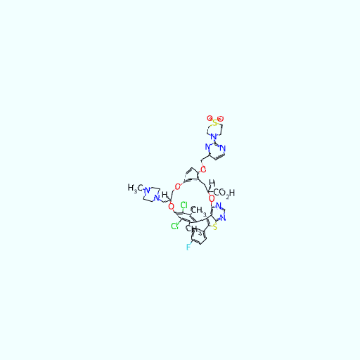 Cc1c(Cl)c2c(Cl)c(C)c1-c1c(-c3ccc(F)cc3)sc3ncnc(c13)O[C@@H](C(=O)O)Cc1cc(ccc1OCc1ccnc(N3CCS(=O)(=O)CC3)n1)OC[C@@H](CN1CCN(C)CC1)O2